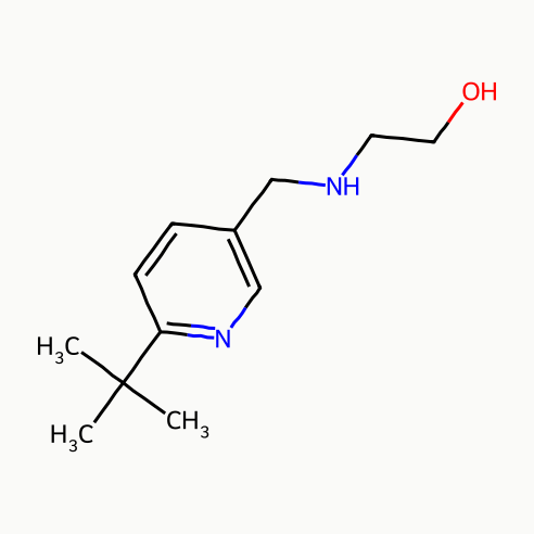 CC(C)(C)c1ccc(CNCCO)cn1